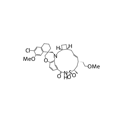 COCC[C@H]1/C=C/C[C@H]2CC[C@H]2CN2C[C@@]3(CCCc4cc(Cl)c(OC)cc43)COc3ccc(cc32)C(=O)NS(=O)(=O)[C@H](C)C1